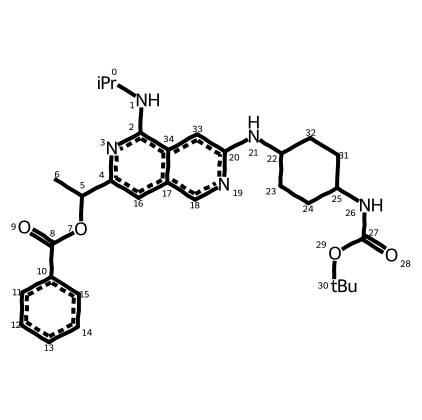 CC(C)Nc1nc(C(C)OC(=O)c2ccccc2)cc2cnc(NC3CCC(NC(=O)OC(C)(C)C)CC3)cc12